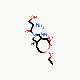 CCOB1CCC[C@H]2CN(C(=O)[C@@H](N)CO)C[C@@]2(N)C2OC2O1